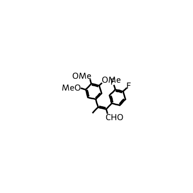 COc1cc(C(C)=C(C=O)c2ccc(F)c(F)c2)cc(OC)c1OC